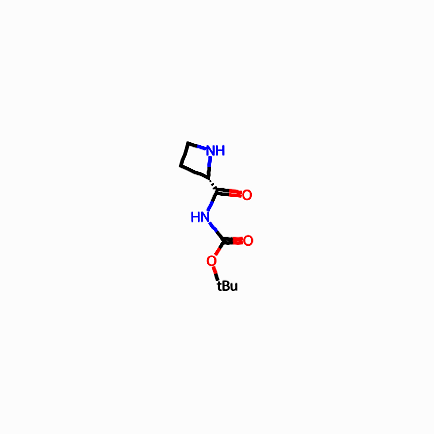 CC(C)(C)OC(=O)NC(=O)[C@@H]1CCN1